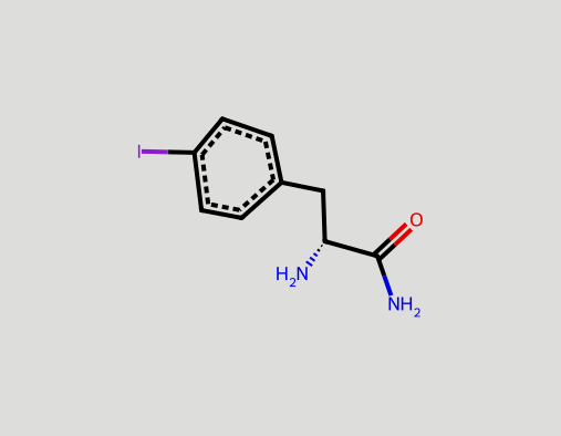 NC(=O)[C@H](N)Cc1ccc(I)cc1